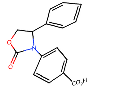 O=C(O)c1ccc(N2C(=O)OCC2c2ccccc2)cc1